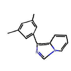 Cc1cc(C)cc(-c2ncn3ccccc23)c1